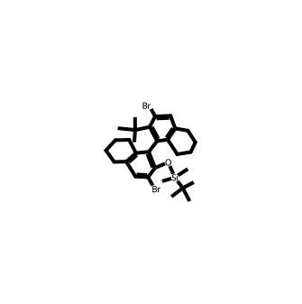 CC(C)(C)c1c(Br)cc2c(c1-c1c3c(cc(Br)c1O[Si](C)(C)C(C)(C)C)CCCC3)CCCC2